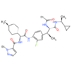 CCC(=O)N[C@@H](C(=O)N[C@@H](C)C1CC1)[C@@H](C)c1ccc(NC(=O)[C@@H](NC(=O)c2ccnn2CC)[C@H]2CC[C@H](C)CC2)c(F)c1